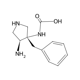 N[C@H]1CNC[C@]1(Cc1ccccc1)NC(=O)O